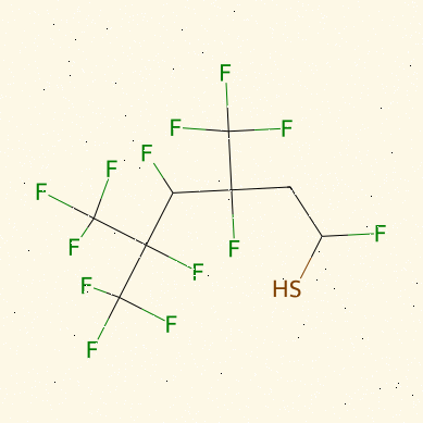 FC(S)CC(F)(C(F)C(F)(C(F)(F)F)C(F)(F)F)C(F)(F)F